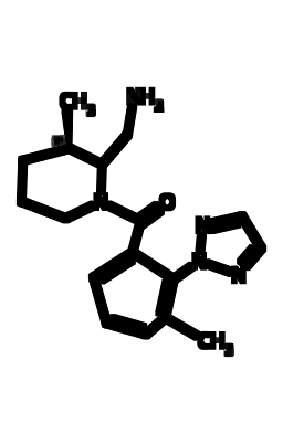 Cc1cccc(C(=O)N2CCC[C@@H](C)C2CN)c1-n1nccn1